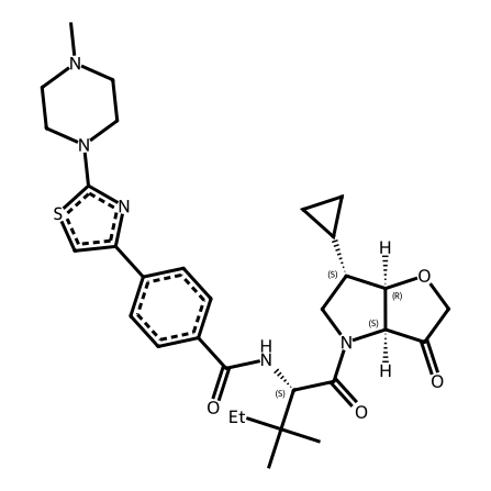 CCC(C)(C)[C@H](NC(=O)c1ccc(-c2csc(N3CCN(C)CC3)n2)cc1)C(=O)N1C[C@H](C2CC2)[C@H]2OCC(=O)[C@H]21